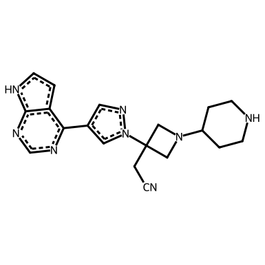 N#CCC1(n2cc(-c3ncnc4[nH]ccc34)cn2)CN(C2CCNCC2)C1